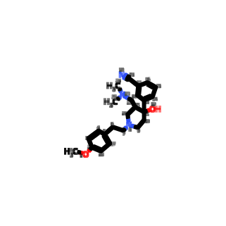 COc1ccc(CCN2CCC(O)(c3cccc(C#N)c3)C(CN(C)C)C2)cc1